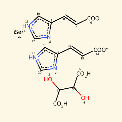 O=C(O)C(O)C(O)C(=O)O.O=C([O-])C=Cc1c[nH]cn1.O=C([O-])C=Cc1c[nH]cn1.[Se+2]